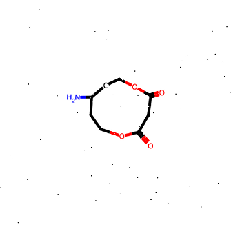 NC1CCOC(=O)CC(=O)OCC1